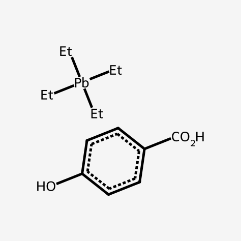 C[CH2][Pb]([CH2]C)([CH2]C)[CH2]C.O=C(O)c1ccc(O)cc1